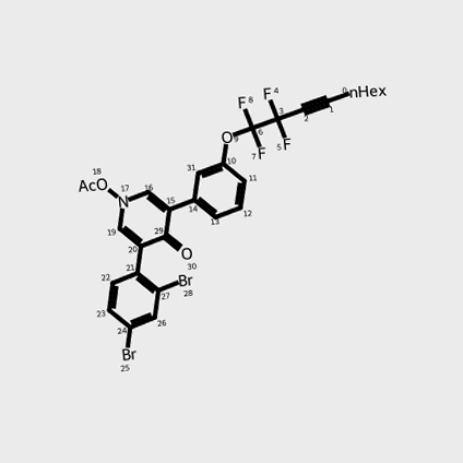 CCCCCCC#CC(F)(F)C(F)(F)Oc1cccc(-c2cn(OC(C)=O)cc(-c3ccc(Br)cc3Br)c2=O)c1